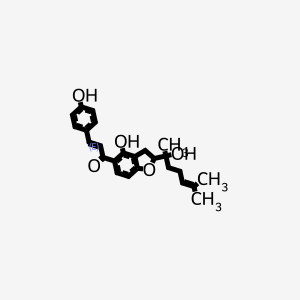 CC(C)=CCCC(C)(O)C1Cc2c(ccc(C(=O)/C=C/c3ccc(O)cc3)c2O)O1